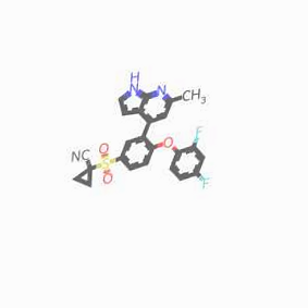 Cc1cc(-c2cc(S(=O)(=O)C3(C#N)CC3)ccc2Oc2ccc(F)cc2F)c2cc[nH]c2n1